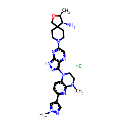 C[C@@H]1OCC2(CCN(c3cnc4c(N5CCN(C)c6nc(-c7cnn(C)c7)ccc65)n[nH]c4n3)CC2)[C@@H]1N.Cl